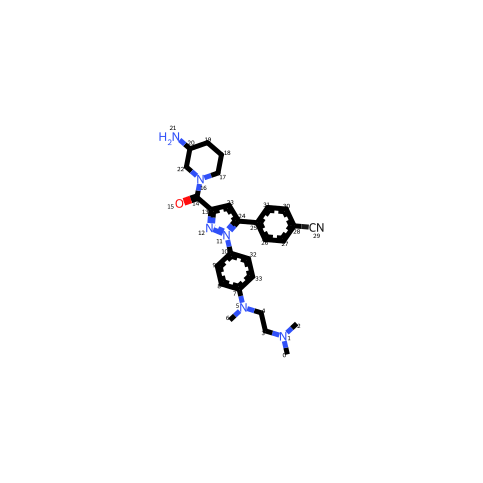 CN(C)CCN(C)c1ccc(-n2nc(C(=O)N3CCCC(N)C3)cc2-c2ccc(C#N)cc2)cc1